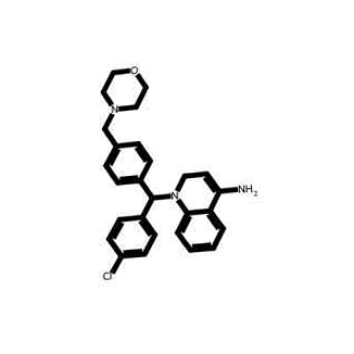 NC1=CCN(C(c2ccc(Cl)cc2)c2ccc(CN3CCOCC3)cc2)c2ccccc21